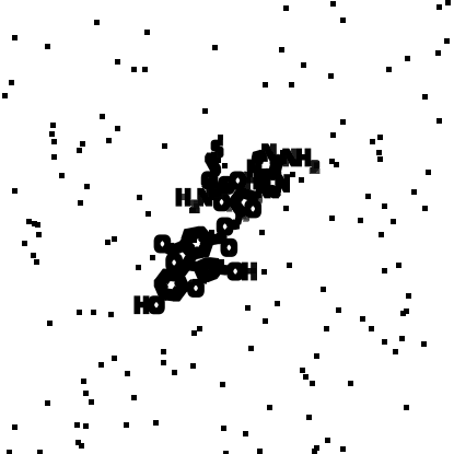 Nc1ncnc2c1ncn2[C@@H]1O[C@H](COC(=O)c2ccc3c(c2)C2(OC3=O)c3ccc(O)cc3Oc3cc(O)ccc32)[C@@H](OP(N)(=O)OCC=S)[C@H]1O